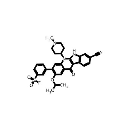 CC(C)Oc1cc2c(=O)c3c4ccc(C#N)cc4[nH]c3n(C3CCN(C)CC3)c2cc1-c1cccc(S(=O)(=O)F)c1